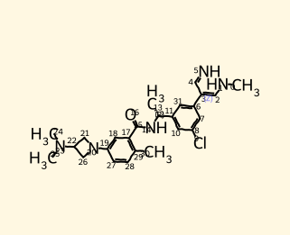 CN/C=C(\C=N)c1cc(Cl)cc([C@@H](C)NC(=O)c2cc(N3CC(N(C)C)C3)ccc2C)c1